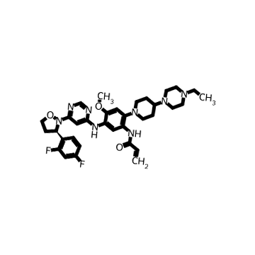 C=CC(=O)Nc1cc(Nc2cc(N3OCC[C@@H]3c3ccc(F)cc3F)ncn2)c(OC)cc1N1CCC(N2CCN(CC)CC2)CC1